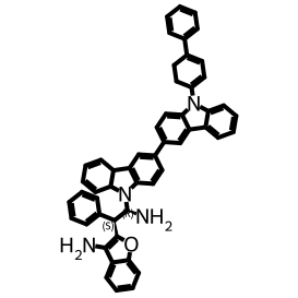 Nc1c([C@@H](c2ccccc2)[C@H](N)N2c3ccc(-c4ccc5c(c4)c4ccccc4n5C4=CC=C(c5ccccc5)CC4)cc3C3C=CC=CC32)oc2ccccc12